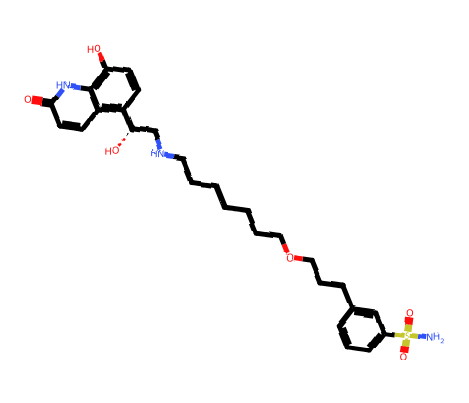 NS(=O)(=O)c1cccc(CCCOCCCCCCCNC[C@H](O)c2ccc(O)c3[nH]c(=O)ccc23)c1